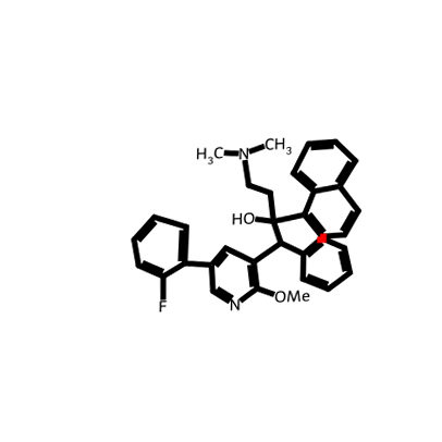 COc1ncc(-c2ccccc2F)cc1C(c1ccccc1)C(O)(CCN(C)C)c1cccc2ccccc12